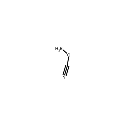 BOC#N